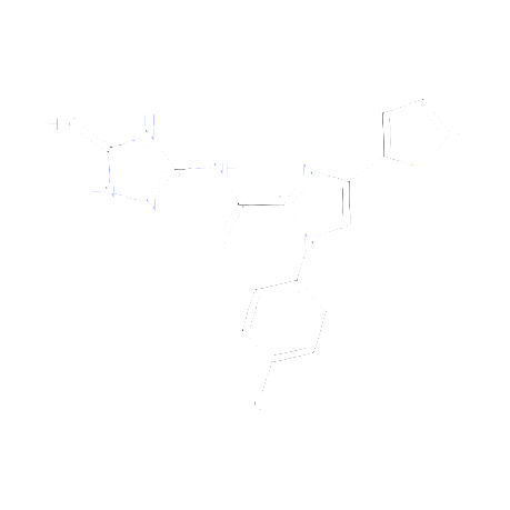 C=C1NN=C(NC(=O)c2nc(-c3cccs3)cn2-c2ccc(C)cc2)N1